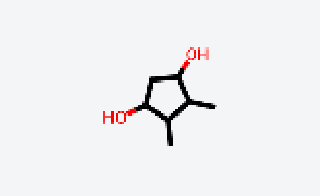 CC1C(O)CC(O)C1C